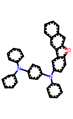 c1ccc(N(c2ccccc2)c2ccc(N(c3ccccc3)c3ccc4oc5cc6ccccc6cc5c4c3)cc2)cc1